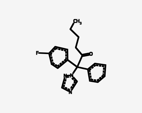 CCCCC(=O)C(c1ccccc1)(c1ccc(F)cc1)n1cncn1